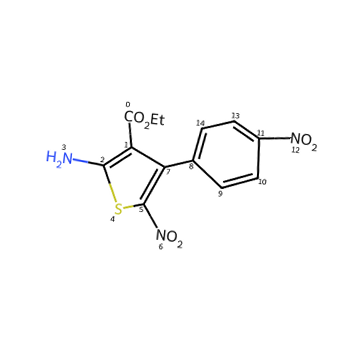 CCOC(=O)c1c(N)sc([N+](=O)[O-])c1-c1ccc([N+](=O)[O-])cc1